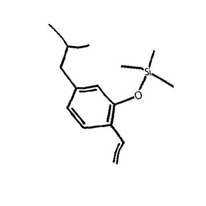 C=Cc1ccc(CC(C)C)cc1O[Si](C)(C)C